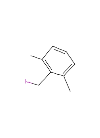 Cc1cccc(C)c1CI